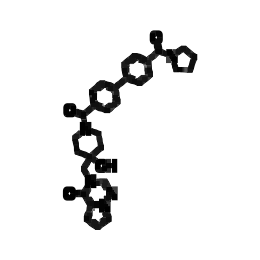 O=C(c1ccc(-c2ccc(C(=O)N3CCC(O)(Cn4cnn5cccc5c4=O)CC3)cc2)cc1)N1CCCC1